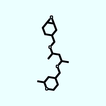 CC1CC(COC(C)CC(C)OCC2CCC3OC3C2)CCO1